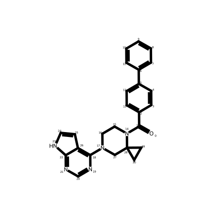 O=C(c1ccc(-c2ccccc2)cc1)N1CCN(c2ncnc3[nH]ccc23)CC12CC2